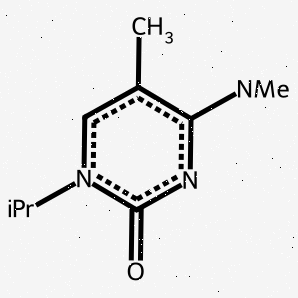 CNc1nc(=O)n(C(C)C)cc1C